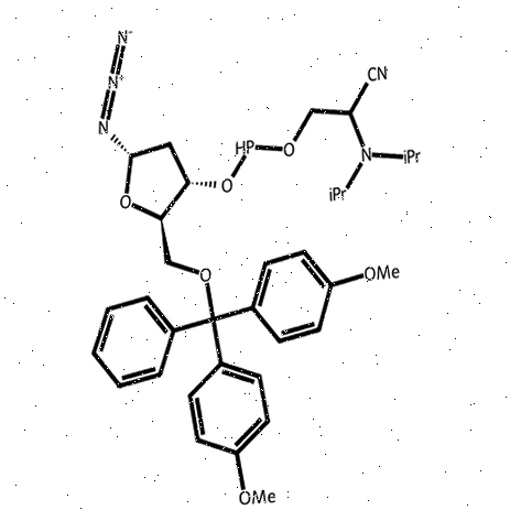 COc1ccc(C(OC[C@H]2O[C@H](N=[N+]=[N-])C[C@@H]2OPOCC(C#N)N(C(C)C)C(C)C)(c2ccccc2)c2ccc(OC)cc2)cc1